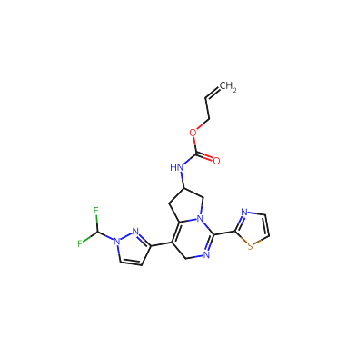 C=CCOC(=O)NC1CC2=C(c3ccn(C(F)F)n3)CN=C(c3nccs3)N2C1